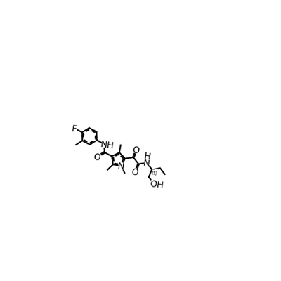 CC[C@@H](CO)NC(=O)C(=O)c1c(C)c(C(=O)Nc2ccc(F)c(C)c2)c(C)n1C